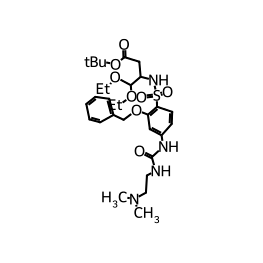 CCOC(OCC)C(CC(=O)OC(C)(C)C)NS(=O)(=O)c1ccc(NC(=O)NCCN(C)C)cc1OCc1ccccc1